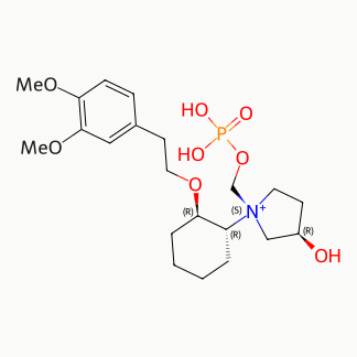 COc1ccc(CCO[C@@H]2CCCC[C@H]2[N@+]2(COP(=O)(O)O)CC[C@@H](O)C2)cc1OC